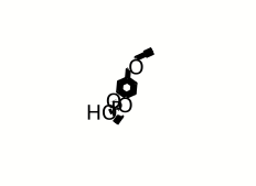 C#CCOCc1ccc(OP(=O)(O)C=C)cc1